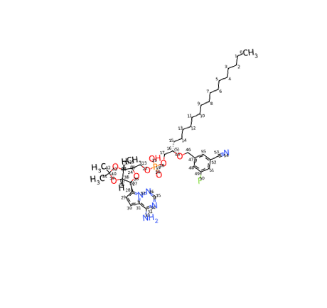 CCCCCCCCCCCCCCCC[C@@H](COP(=O)(O)OC[C@@]1(C)O[C@@H](c2ccc3c(N)ncnn23)[C@@H]2OC(C)(C)O[C@@H]21)OCc1cc(F)cc(C#N)c1